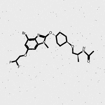 CC(=O)N[C@@H](C)CO[C@H]1CC[C@H](Oc2nc3c(Br)cc(OCC(F)F)cc3n2C)CC1